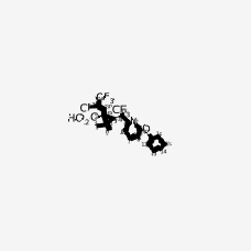 CC1(C)[C@H](C(c2cccc(Oc3ccccc3)n2)C(F)(F)F)[C@]1(C=C(Cl)C(F)(F)F)C(=O)O